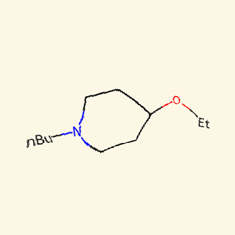 CCCCN1CCC(OCC)CC1